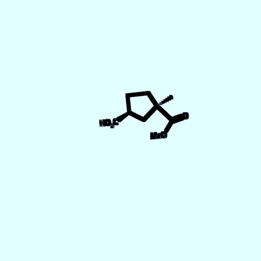 COC(=O)[C@]1(C)CC[C@H](C(=O)O)C1